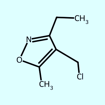 CCc1noc(C)c1CCl